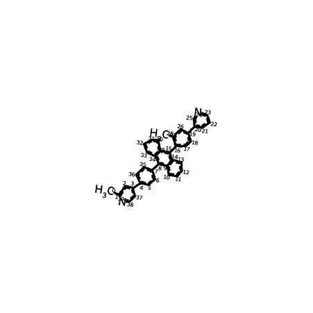 Cc1cc(-c2ccc(-c3c4ccccc4c(-c4ccc(-c5cccnc5)cc4C)c4ccccc34)cc2)ccn1